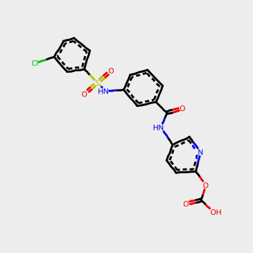 O=C(O)Oc1ccc(NC(=O)c2cccc(NS(=O)(=O)c3cccc(Cl)c3)c2)cn1